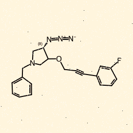 [N-]=[N+]=N[C@@H]1CN(Cc2ccccc2)CC1OCC#Cc1cccc(F)c1